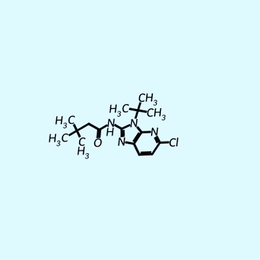 CC(C)(C)CC(=O)Nc1nc2ccc(Cl)nc2n1C(C)(C)C